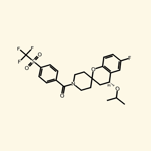 CC(C)O[C@@H]1CC2(CCN(C(=O)c3ccc(S(=O)(=O)C(F)(F)F)cc3)CC2)Oc2ccc(F)cc21